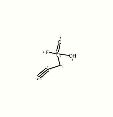 C#CCP(=O)(O)F